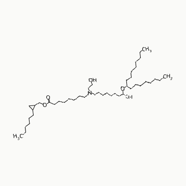 CCCCCCCCC(CCCCCCCC)OC(O)CCCCCCCN(CCO)CCCCCCCC(=O)OCC1CC1CCCCCC